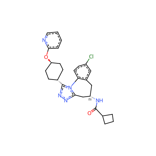 O=C(N[C@H]1Cc2cc(Cl)ccc2-n2c(nnc2[C@H]2CC[C@H](Oc3ccccn3)CC2)C1)C1CCC1